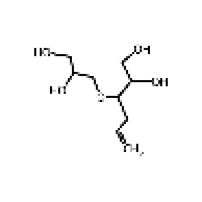 C=CCC(OCC(O)CO)C(O)CO